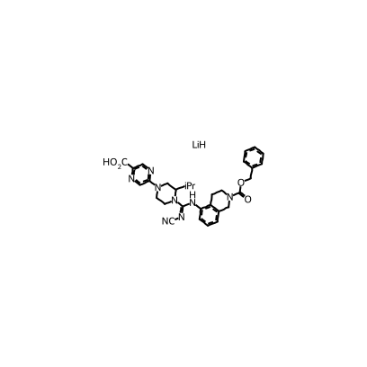 CC(C)C1CN(c2cnc(C(=O)O)cn2)CCN1C(=NC#N)Nc1cccc2c1CCN(C(=O)OCc1ccccc1)C2.[LiH]